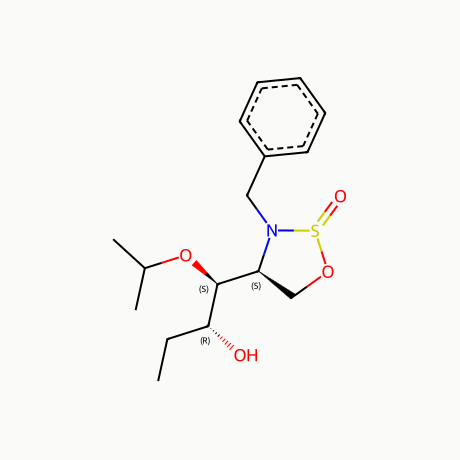 CC[C@@H](O)[C@@H](OC(C)C)[C@@H]1COS(=O)N1Cc1ccccc1